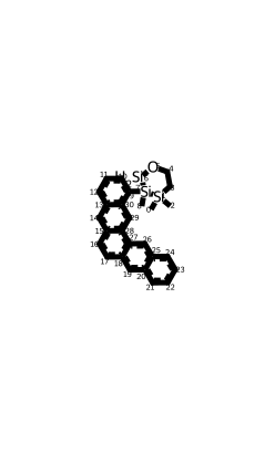 C[Si]1(C)CCO[SiH2][Si]1(C)c1cccc2cc3ccc4cc5ccccc5cc4c3cc12